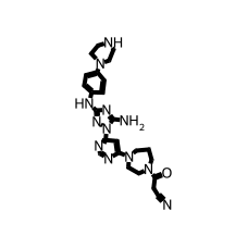 N#CCC(=O)N1CCCN(c2cc(-n3nc(Nc4ccc(N5CCNCC5)cc4)nc3N)ncn2)CC1